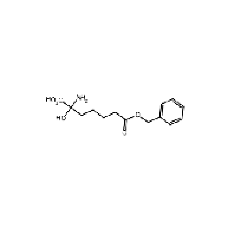 NC(O)(CCCCC(=O)OCc1ccccc1)C(=O)O